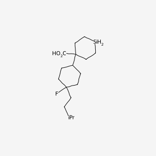 CC(C)CCC1(F)CCC(C2(C(=O)O)CC[SiH2]CC2)CC1